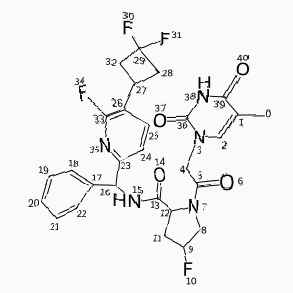 Cc1cn(CC(=O)N2CC(F)CC2C(=O)NC(c2ccccc2)c2ccc(C3CC(F)(F)C3)c(F)n2)c(=O)[nH]c1=O